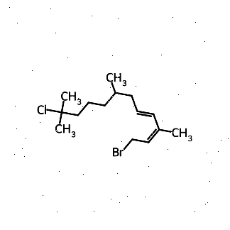 CC(C=CCC(C)CCCC(C)(C)Cl)=CCBr